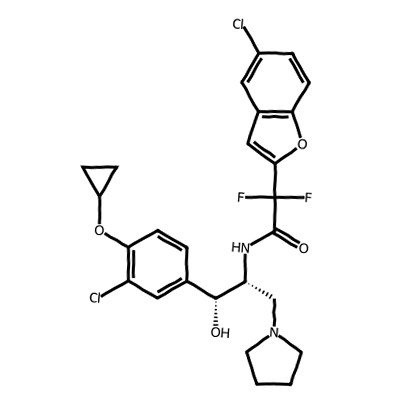 O=C(N[C@H](CN1CCCC1)[C@H](O)c1ccc(OC2CC2)c(Cl)c1)C(F)(F)c1cc2cc(Cl)ccc2o1